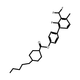 CCCCCC1CCC(C(=O)Oc2ccc(-c3ccc(C)c(C(F)F)c3F)cc2)CC1